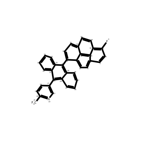 Fc1ccc2ccc3c(-c4c5ccccc5c(-c5ccc(C(F)(F)F)nc5)c5ccccc45)ccc4ccc1c2c43